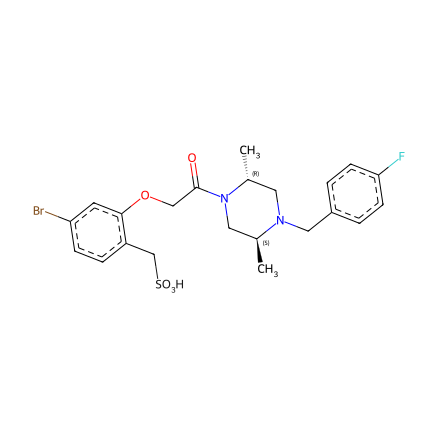 C[C@@H]1CN(Cc2ccc(F)cc2)[C@@H](C)CN1C(=O)COc1cc(Br)ccc1CS(=O)(=O)O